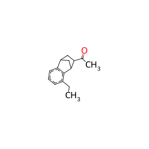 CCc1cccc2c1C1CC2CC1C(C)=O